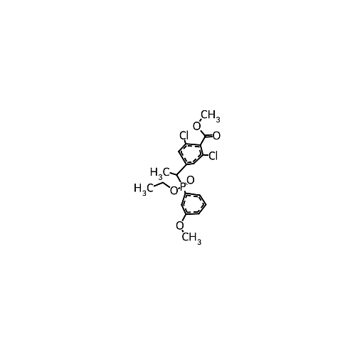 CCOP(=O)(c1cccc(OC)c1)C(C)c1cc(Cl)c(C(=O)OC)c(Cl)c1